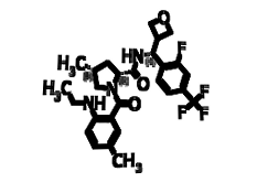 CCNc1ccc(C)cc1C(=O)N1C[C@H](C)C[C@@H]1C(=O)N[C@@H](c1ccc(C(F)(F)F)cc1F)C1COC1